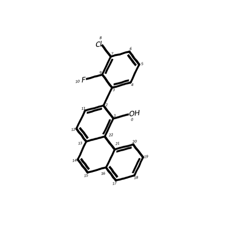 Oc1c(-c2cccc(Cl)c2F)ccc2ccc3ccccc3c12